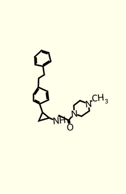 CN1CCN(C(=O)CNC2CC2c2ccc(CCc3ccccc3)cc2)CC1